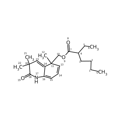 CCCCC(CC)C(=O)OCC1(C)C=CC=C2NC(=O)C(C)(C)C=C21